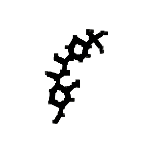 COc1ccc(C(=O)NC(=O)c2ccc(C(F)(F)F)cc2)c(O)c1